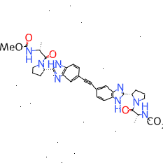 COC(=O)N[C@H](C)C(=O)N1CCC[C@H]1c1nc2cc(C#Cc3ccc4[nH]c([C@@H]5CCCN5C(=O)[C@@H](C)NC(=O)O)nc4c3)ccc2[nH]1